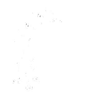 OC(c1ccc(-c2ccc(CN3CCN(Cc4cccs4)CC3)cc2)cc1)(C(F)(F)F)C(F)(F)F